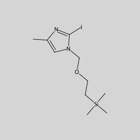 Cc1cn(COCC[Si](C)(C)C)c(I)n1